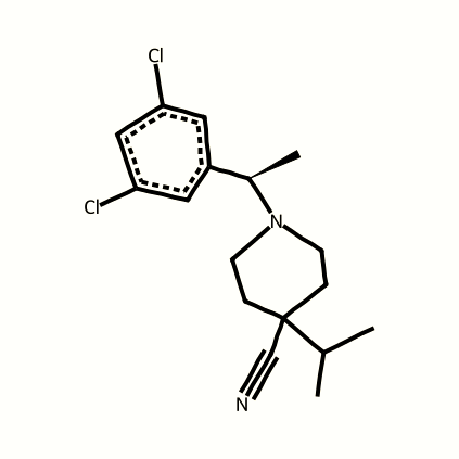 CC(C)C1(C#N)CCN([C@H](C)c2cc(Cl)cc(Cl)c2)CC1